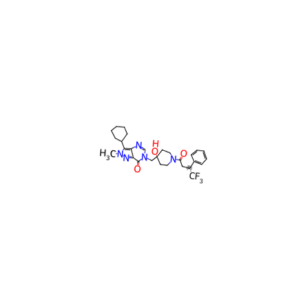 Cn1nc2c(=O)n(CC3(O)CCN(C(=O)C[C@H](c4ccccc4)C(F)(F)F)CC3)cnc2c1C1CCCCC1